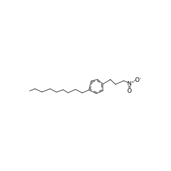 CCCCCCCCCc1ccc(CCC[N+](=O)[O-])cc1